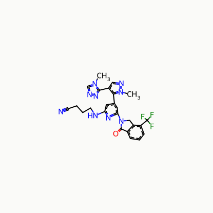 Cn1cnnc1-c1cnn(C)c1-c1cc(NCCCC#N)nc(N2Cc3c(cccc3C(F)(F)F)C2=O)c1